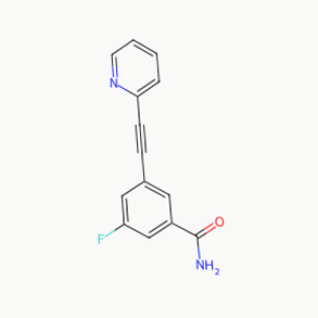 NC(=O)c1cc(F)cc(C#Cc2ccccn2)c1